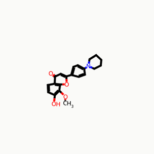 COc1c(O)ccc2c(=O)cc(-c3ccc(N4CCCCC4)cc3)oc12